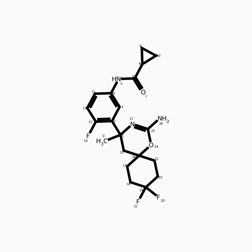 CC1(c2cc(NC(=O)C3CC3)ccc2F)CC2(CCC(F)(F)CC2)OC(N)=N1